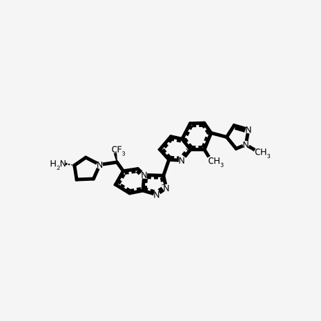 Cc1c(C2C=NN(C)C2)ccc2ccc(-c3nnc4ccc([C@@H](N5CC[C@H](N)C5)C(F)(F)F)cn34)nc12